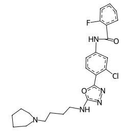 O=C(Nc1ccc(-c2nnc(NCCCCN3CCCCC3)o2)c(Cl)c1)c1ccccc1F